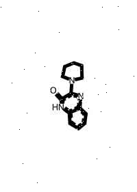 O=c1[nH]c2ccccc2nc1N1CCCCC1